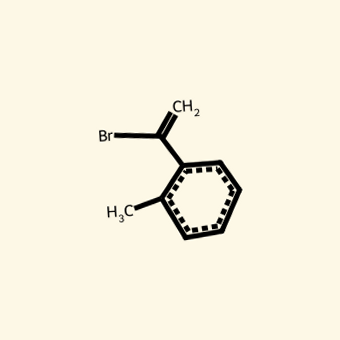 C=C(Br)c1ccccc1C